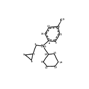 Fc1ccc(N(CC2CC2)C2CCCCC2)cc1